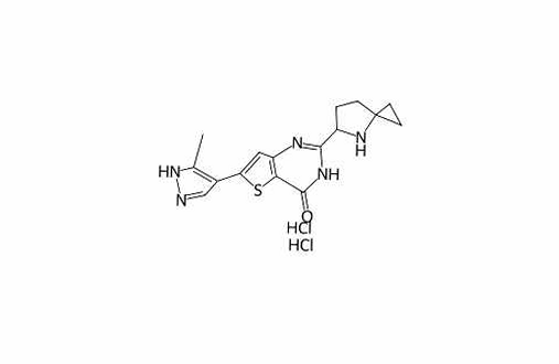 Cc1[nH]ncc1-c1cc2nc(C3CCC4(CC4)N3)[nH]c(=O)c2s1.Cl.Cl